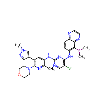 Cc1nc(N2CCOCC2)c(-c2cnn(C)c2)cc1Nc1ncc(Br)c(Nc2ccc3nccnc3c2P(C)C)n1